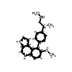 CNC[C@H](C)c1ccc(-c2c(OC)ccc3ncc4sccc4c23)cc1